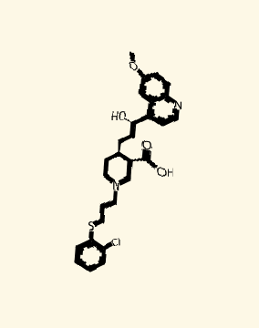 COc1ccc2nccc([C@@H](O)CC[C@@H]3CCN(CCCSc4ccccc4Cl)C[C@@H]3C(=O)O)c2c1